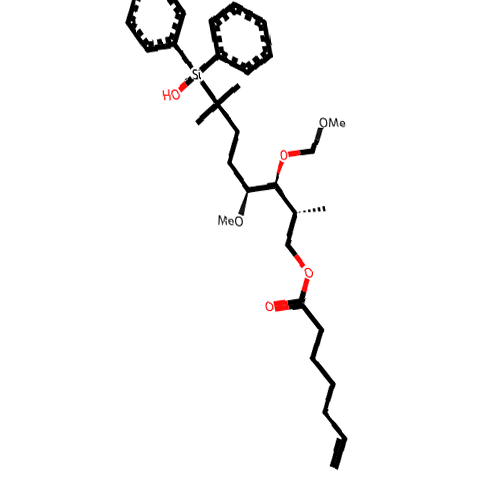 C=CCCCCC(=O)OC[C@@H](C)[C@H](OCOC)[C@H](CCC(C)(C)[Si](O)(c1ccccc1)c1ccccc1)OC